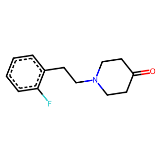 O=C1CCN(CCc2ccccc2F)CC1